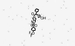 O=C([C@@H](c1ccccc1)N1CC(O)C1)N1Cc2cn(S(=O)(=O)c3ccc(OC(F)F)cc3)nc2C1